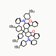 CC(C)(C)C1=CCC(N(C2=CCCCC2)C2CC3C(C4OC5=C(CCC=C5)C42)C2C4=C(OC5C=CCCC45)C(N(C4=CC=CCC4)C4CCC(C(C)(C)C)CC4)CC2C3(C2CC=C(C(C)(C)C)CC2)C2CCC(C(C)(C)C)CC2)CC1